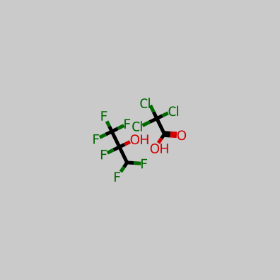 O=C(O)C(Cl)(Cl)Cl.OC(F)(C(F)F)C(F)(F)F